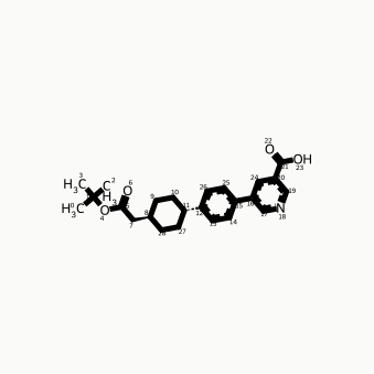 CC(C)(C)OC(=O)C[C@H]1CC[C@H](c2ccc(-c3cncc(C(=O)O)c3)cc2)CC1